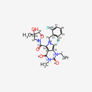 CC(C)Cn1c(=O)n(C)c(=O)c2c(C(=O)N3C[C@](C)(O)CO3)n(Cc3c(F)cccc3F)cc21